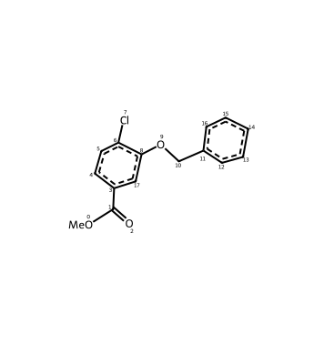 COC(=O)c1ccc(Cl)c(OCc2ccccc2)c1